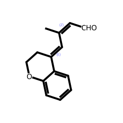 CC(=C/C=O)/C=C1\CCOc2ccccc21